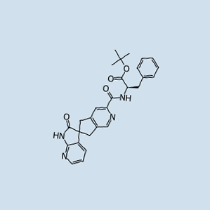 CC(C)(C)OC(=O)[C@@H](Cc1ccccc1)NC(=O)c1cc2c(cn1)CC1(C2)C(=O)Nc2ncccc21